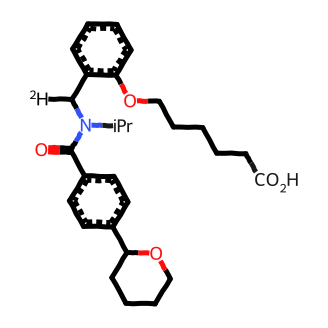 [2H]C(c1ccccc1OCCCCCC(=O)O)N(C(=O)c1ccc(C2CCCCO2)cc1)C(C)C